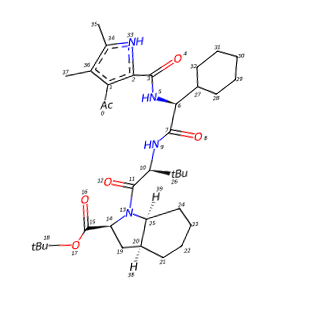 CC(=O)c1c(C(=O)N[C@H](C(=O)N[C@H](C(=O)N2[C@H](C(=O)OC(C)(C)C)C[C@@H]3CCCC[C@@H]32)C(C)(C)C)C2CCCCC2)[nH]c(C)c1C